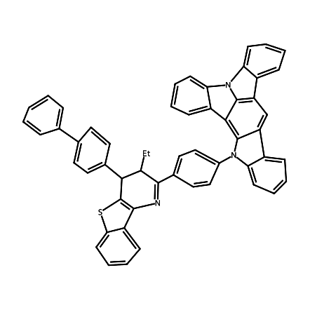 CCC1C(c2ccc(-n3c4ccccc4c4cc5c6ccccc6n6c7ccccc7c(c43)c56)cc2)=Nc2c(sc3ccccc23)C1c1ccc(-c2ccccc2)cc1